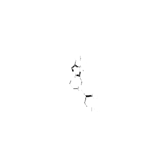 CC(C)(C)CC(=O)N1CCn2cc(C(F)(F)F)nc2C1